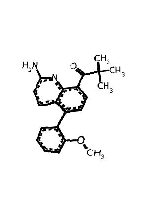 COc1ccccc1-c1ccc(C(=O)C(C)(C)C)c2nc(N)ccc12